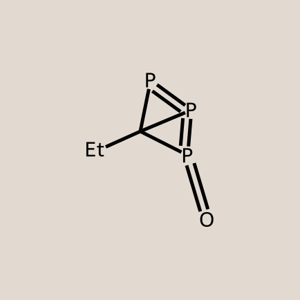 CCC12P=P1=P2=O